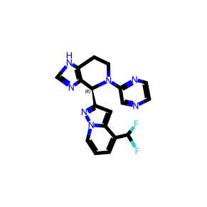 FC(F)c1cccn2nc([C@H]3c4nc[nH]c4CCN3c3cnccn3)cc12